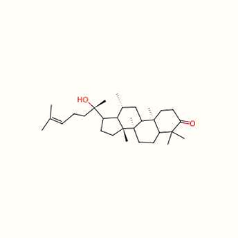 CC(C)=CCC[C@](C)(O)C1CC[C@]2(C)C1[C@H](C)CC1[C@@]3(C)CCC(=O)C(C)(C)C3CC[C@]12C